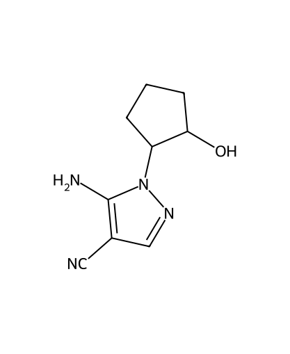 N#Cc1cnn(C2CCCC2O)c1N